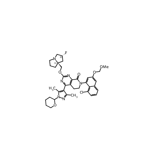 COCOc1cc(N2CCc3c(nc(OC[C@@]45CCCN4C[C@H](F)C5)nc3-c3c(C)nn(C4CCCCO4)c3C)C2=O)c2c(Cl)cccc2c1